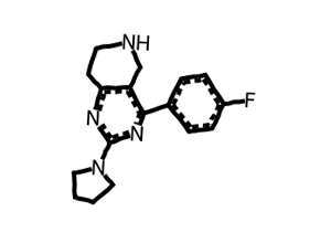 Fc1ccc(-c2nc(N3CCCC3)nc3c2CNCC3)cc1